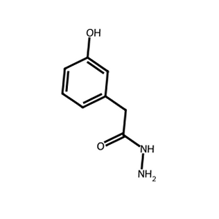 NNC(=O)Cc1cccc(O)c1